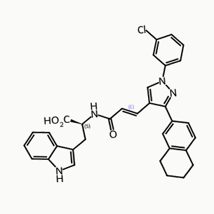 O=C(/C=C/c1cn(-c2cccc(Cl)c2)nc1-c1ccc2c(c1)CCCC2)N[C@@H](Cc1c[nH]c2ccccc12)C(=O)O